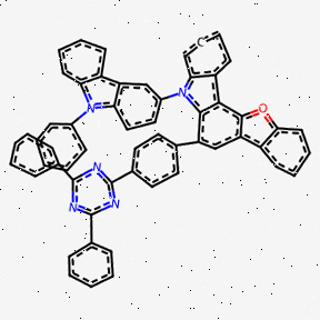 c1ccc(-c2nc(-c3ccccc3)nc(-c3ccc(-c4cc5c6ccccc6oc5c5c6ccccc6n(-c6ccc7c(c6)c6ccccc6n7-c6ccccc6)c45)cc3)n2)cc1